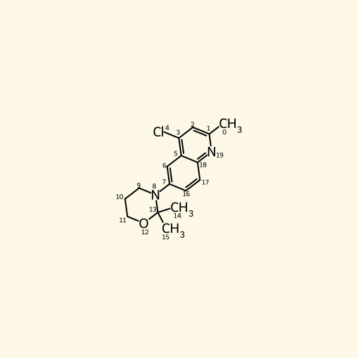 Cc1cc(Cl)c2cc(N3CCCOC3(C)C)ccc2n1